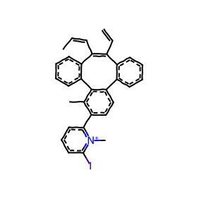 C=C/C1=C(\C=C/C)c2ccccc2-c2c(ccc(-c3cccc(I)[n+]3C)c2C)-c2ccccc21